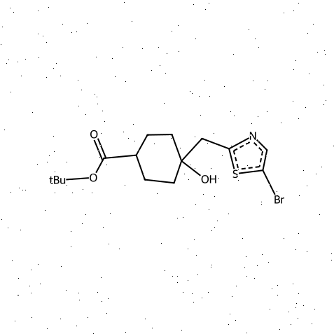 CC(C)(C)OC(=O)C1CCC(O)(Cc2ncc(Br)s2)CC1